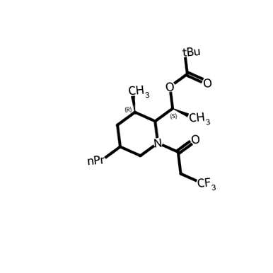 CCCC1C[C@@H](C)C([C@H](C)OC(=O)C(C)(C)C)N(C(=O)CC(F)(F)F)C1